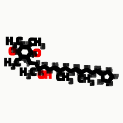 CC1=C(C)C(=O)C(CC[C@](C)(O)CC/C=C(\C)CC/C=C(\C)CCC=C2CCCC2)=C(C)C1=O